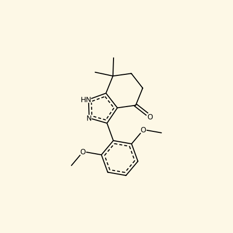 COc1cccc(OC)c1-c1n[nH]c2c1C(=O)CCC2(C)C